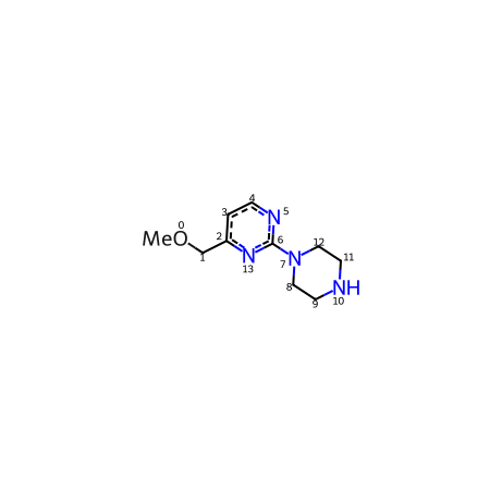 COCc1ccnc(N2CCNCC2)n1